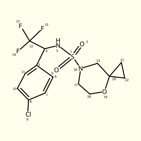 O=S(=O)(NC(c1ccc(Cl)cc1)C(F)(F)F)N1CCOC2(CC2)C1